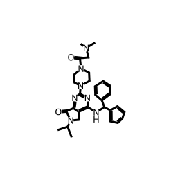 CC(C)N1Cc2c(NC(c3ccccc3)c3ccccc3)nc(N3CCN(C(=O)CN(C)C)CC3)nc2C1=O